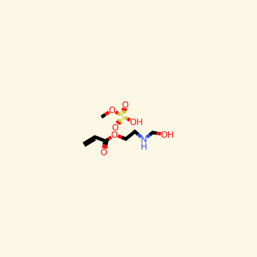 C=CC(=O)OCCNCO.COS(=O)(=O)O